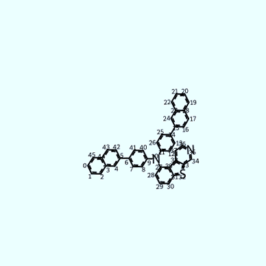 c1ccc2cc(-c3ccc(N(c4ccc(-c5ccc6ccccc6c5)cc4)c4cccc5sc6cnccc6c45)cc3)ccc2c1